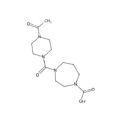 CC(=O)N1CCN(C(=O)N2CCCN(C(=O)O)CC2)CC1